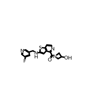 O=C(c1nccc2sc(NCc3cncc(F)c3)cc12)N1CC(O)C1